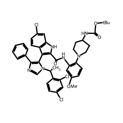 COc1ccc(N2CCC(NC(=O)OC(C)(C)C)CC2)c(NC(=O)c2[nH]c3cc(Cl)ccc3c2-c2c(-c3ccccc3)ncn2[C@@H](C)c2ccc(Cl)cc2Cl)c1